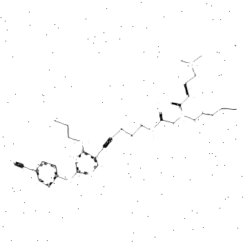 CCCCCN(CC(=O)NCCCC#Cc1cnc(Nc2ccc(C#N)cc2)nc1NCCC)C(=O)/C=C/CN(C)C